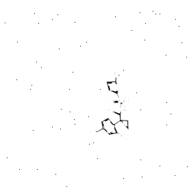 O=C(NS(=O)(=O)c1ccc(Br)s1)C1(c2ccc(Cl)cc2Cl)CC1